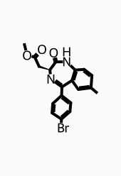 COC(=O)C[C@@H]1N=C(c2ccc(Br)cc2)c2cc(C)ccc2NC1=O